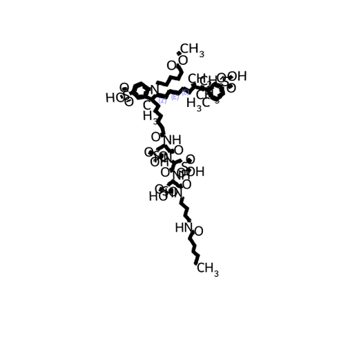 C=C(/C=C/C=C/C=C1\N(CCCCCC(=O)OCC)c2ccc(S(=O)(=O)O)cc2C1(C)CCCCCC(=O)NC(CS(=O)(=O)O)C(=O)NC(CS(=O)(=O)O)C(=O)NC(CS(=O)(=O)O)C(=O)NCCCCCNC(=O)CCCCCC)C(C)(C)c1cc(S(=O)(=O)O)ccc1C